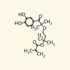 C=C(C)C(=O)OC(C)(C)CCOC(C)(C)C(=O)c1ccc(O)c(O)c1